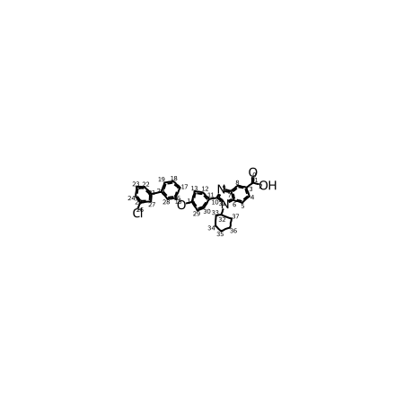 O=C(O)c1ccc2c(c1)nc(-c1ccc(Oc3cccc(-c4cccc(Cl)c4)c3)cc1)n2C1CCCCC1